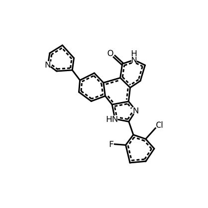 O=c1[nH]ccc2c3nc(-c4c(F)cccc4Cl)[nH]c3c3ccc(-c4cccnc4)cc3c12